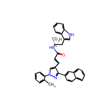 Cc1ccccc1-n1cc(C=CC(=O)N[C@@H](Cc2c[nH]c3ccccc23)C(=O)O)c(-c2ccc3ccccc3c2)n1